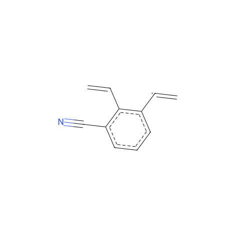 C=[C]c1cccc(C#N)c1C=C